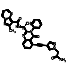 Cc1nn2cccnc2c1C(=O)N[C@H](C)c1nc2cccc(C#Cc3cnn(CC(N)=O)c3)c2c(=O)n1-c1ccccc1